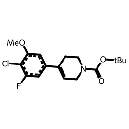 COc1cc(C2=CCN(C(=O)OC(C)(C)C)CC2)cc(F)c1Cl